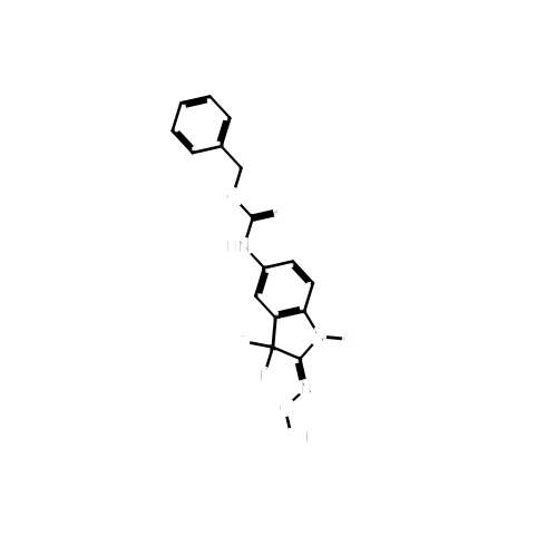 CON=C1N(C)c2ccc(NC(=O)OCc3ccccc3)cc2C1(F)F